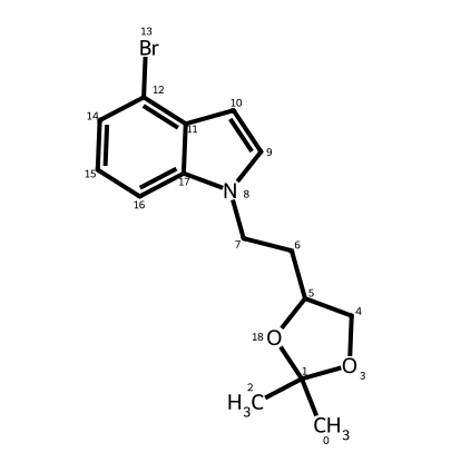 CC1(C)OCC(CCn2ccc3c(Br)cccc32)O1